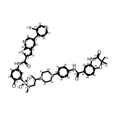 CC(CN(C)S(=O)(=O)c1cc(NC(=O)c2cc3cc(-c4ccncc4F)cnc3s2)ccc1Cl)N1CCN(c2ccc(NC(=O)c3ccc4c(c3)NC(=O)C(C)(C)O4)cc2)CC1